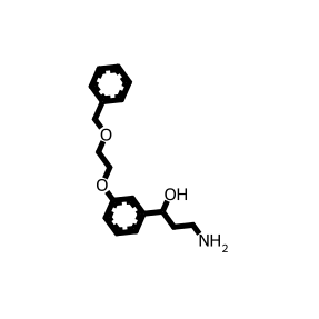 NCCC(O)c1cccc(OCCOCc2ccccc2)c1